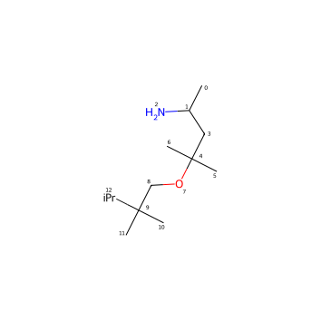 CC(N)CC(C)(C)OCC(C)(C)C(C)C